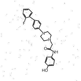 O=C(CN1CCN(c2ccc(-c3ccccc3F)cc2)CC1)Nc1ccc(O)cc1